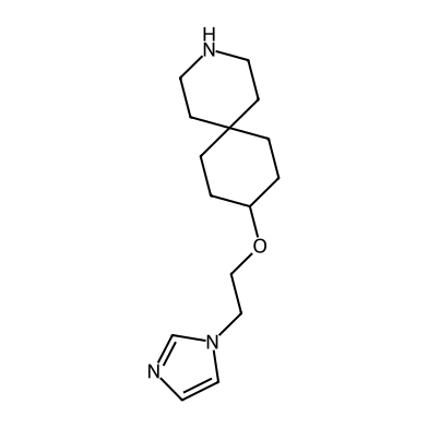 c1cn(CCOC2CCC3(CCNCC3)CC2)cn1